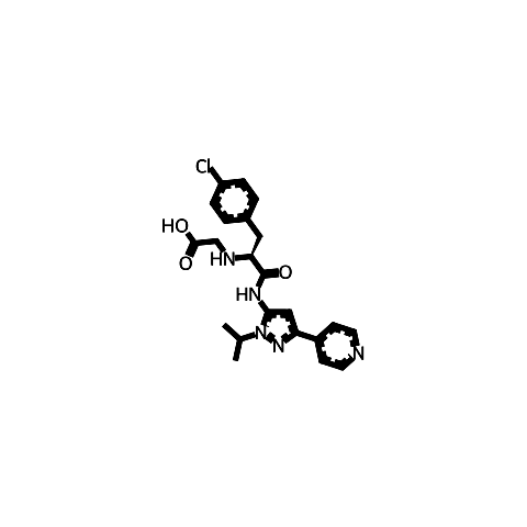 CC(C)n1nc(-c2ccncc2)cc1NC(=O)[C@H](Cc1ccc(Cl)cc1)NCC(=O)O